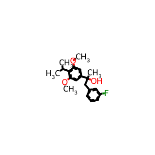 COc1cc(C(C)(O)Cc2cccc(F)c2)cc(OC)c1C(C)C